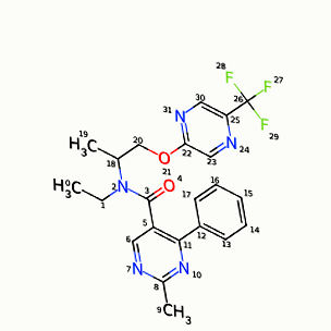 CCN(C(=O)c1cnc(C)nc1-c1ccccc1)C(C)COc1cnc(C(F)(F)F)cn1